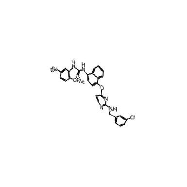 COc1ccc(C(C)(C)C)cc1NC(=O)Nc1ccc(Oc2ccnc(NCc3cccc(Cl)c3)n2)c2ccccc12